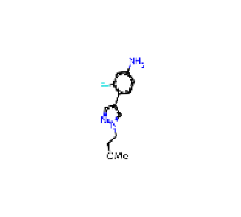 COCCn1cc(-c2ccc(N)cc2F)cn1